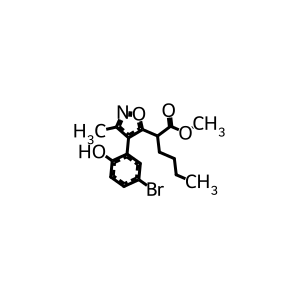 CCCCC(C(=O)OC)c1onc(C)c1-c1cc(Br)ccc1O